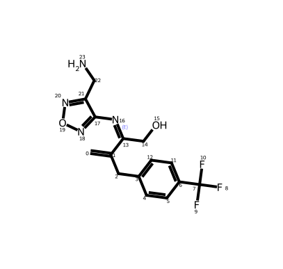 C=C(Cc1ccc(C(F)(F)F)cc1)/C(CO)=N\c1nonc1CN